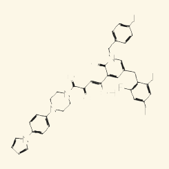 O=C(C=C(O)c1cc(Cc2c(F)cc(F)cc2F)cn(Cc2ccc(F)cc2)c1=O)C(=O)N1CCN(c2ccc(-n3cccc3)cc2)CC1